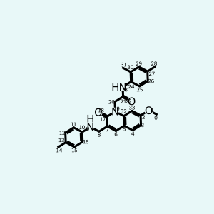 COc1ccc2cc(CNc3ccc(C)cc3)c(=O)n(CC(=O)Nc3ccc(C)cc3C)c2c1